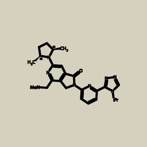 CNCc1nc(N2[C@H](C)CC[C@H]2C)cc2c1CN(c1cccc(-c3nncn3C(C)C)n1)C2=O